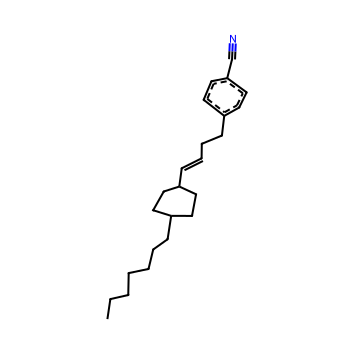 CCCCCCCC1CCC(C=CCCc2ccc(C#N)cc2)CC1